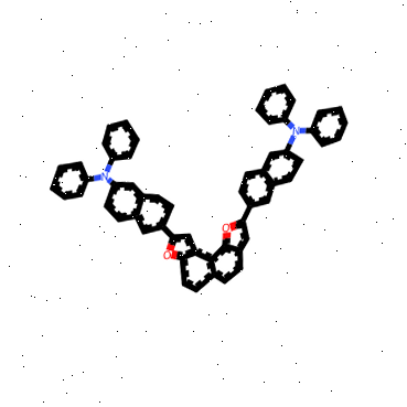 c1ccc(N(c2ccccc2)c2ccc3cc(-c4cc5c(ccc6ccc7cc(-c8ccc9cc(N(c%10ccccc%10)c%10ccccc%10)ccc9c8)oc7c65)o4)ccc3c2)cc1